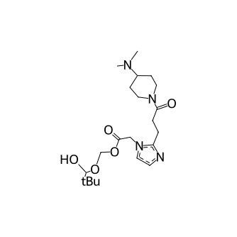 CN(C)C1CCN(C(=O)CCc2nccn2CC(=O)OCOC(O)C(C)(C)C)CC1